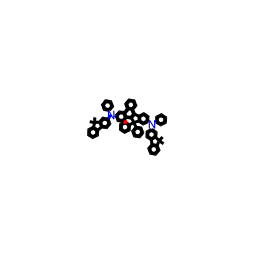 CC1(C)c2ccccc2-c2ccc(N(c3ccccc3)c3ccc4c(c3)C(c3ccccc3)(c3ccccc3)c3c-4c4ccccc4c4cc(N(c5ccccc5)c5ccc6c(c5)C(C)(C)c5ccccc5-6)ccc34)cc21